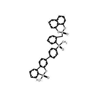 CP1(=O)Oc2cc(-c3ccc(P(C)(=O)c4ccccc4CP4(=O)Oc5cccc6cccc(c56)O4)cc3)ccc2-c2ccccc21